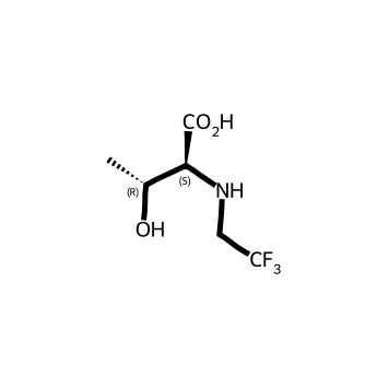 C[C@@H](O)[C@H](NCC(F)(F)F)C(=O)O